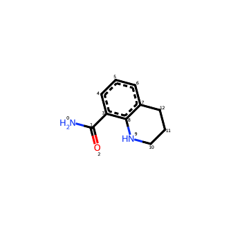 NC(=O)c1cccc2c1NCCC2